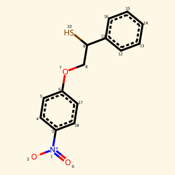 O=[N+]([O-])c1ccc(OCC(S)c2ccccc2)cc1